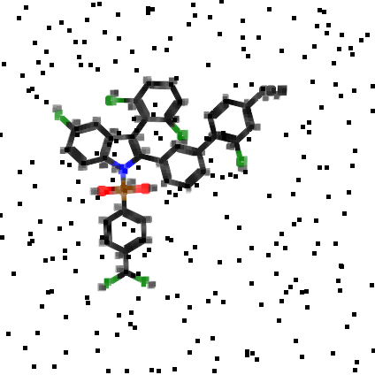 O=C(O)c1ccc(-c2cccc(-c3c(-c4c(Cl)cccc4Cl)c4cc(F)ccc4n3S(=O)(=O)c3ccc(C(F)F)cc3)c2)c(Cl)c1